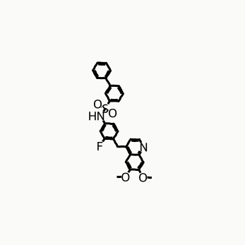 COc1cc2nccc(Cc3ccc(NS(=O)(=O)c4cccc(-c5ccccc5)c4)cc3F)c2cc1OC